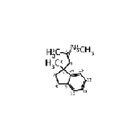 C/N=C(/C)CC1(C)CCc2ccccc21